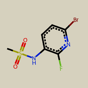 CS(=O)(=O)Nc1ccc(Br)nc1F